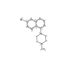 CN1CCN(c2cccc3cc(Br)cnc23)CC1